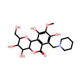 COc1c(O)c(CN2CCCCC2)c2c(c1O)C1OC(CO)C(O)C(O)C1OC2=O